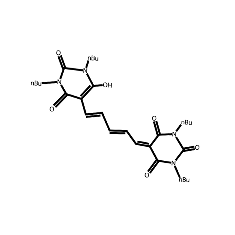 CCCCN1C(=O)C(=CC=CC=Cc2c(O)n(CCCC)c(=O)n(CCCC)c2=O)C(=O)N(CCCC)C1=O